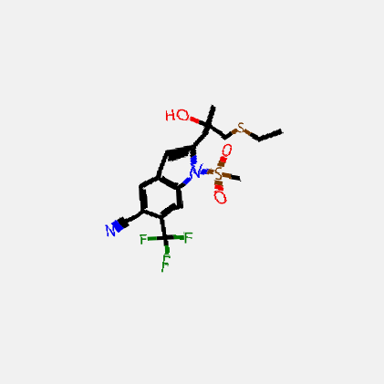 CCSCC(C)(O)c1cc2cc(C#N)c(C(F)(F)F)cc2n1S(C)(=O)=O